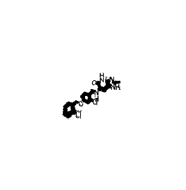 Cc1ncc(CC(NCc2ccc(OCc3ccccc3Cl)cc2Cl)C(N)=O)[nH]1